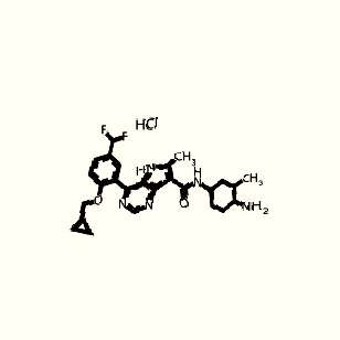 Cc1[nH]c2c(-c3cc(C(F)F)ccc3OCC3CC3)ncnc2c1C(=O)NC1CCC(N)C(C)C1.Cl